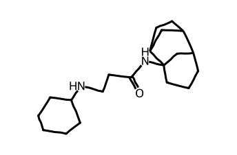 O=C(CCNC1CCCCC1)NC12CCCC(C1)C1CCC2C1